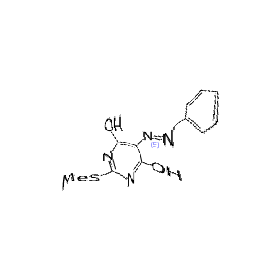 CSc1nc(O)c(/N=N/c2ccccc2)c(O)n1